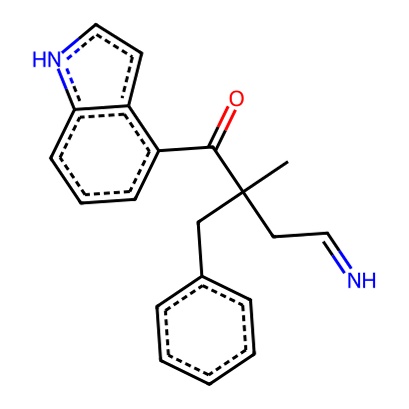 CC(CC=N)(Cc1ccccc1)C(=O)c1cccc2[nH]ccc12